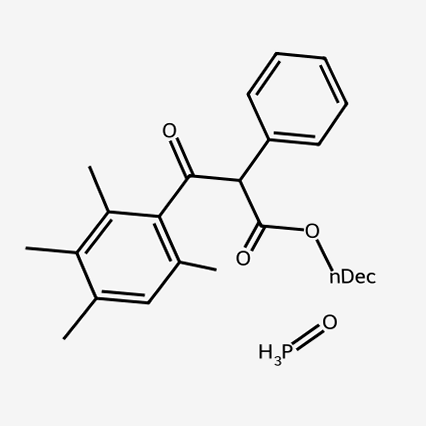 CCCCCCCCCCOC(=O)C(C(=O)c1c(C)cc(C)c(C)c1C)c1ccccc1.O=[PH3]